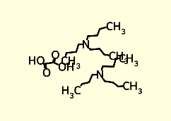 CCCCN(CCCC)CCCC.CCCCN(CCCC)CCCC.O=C(O)C(=O)O